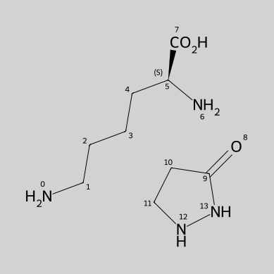 NCCCC[C@H](N)C(=O)O.O=C1CCNN1